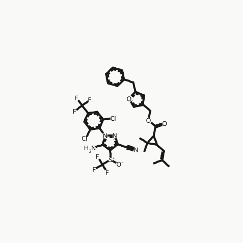 CC(C)=CC1C(C(=O)OCc2coc(Cc3ccccc3)c2)C1(C)C.N#Cc1nn(-c2c(Cl)cc(C(F)(F)F)cc2Cl)c(N)c1[S+]([O-])C(F)(F)F